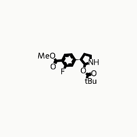 COC(=O)c1ccc([C@@H]2CCNC2OC(=O)C(C)(C)C)cc1F